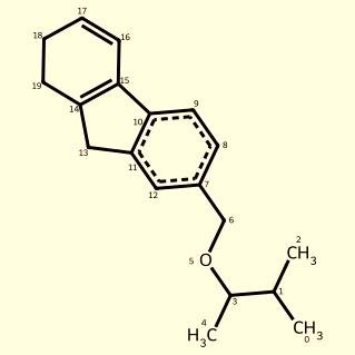 CC(C)C(C)OCc1ccc2c(c1)CC1=C2C=CCC1